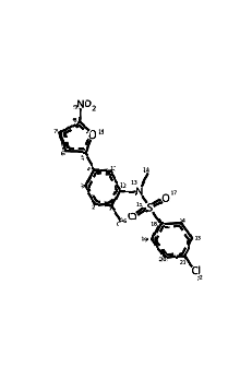 Cc1ccc(-c2ccc([N+](=O)[O-])o2)cc1N(C)S(=O)(=O)c1ccc(Cl)cc1